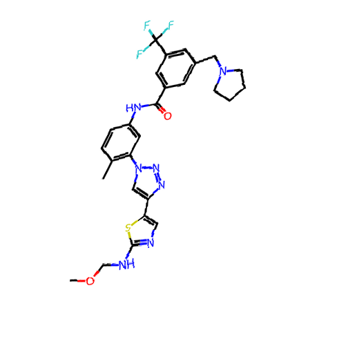 COCNc1ncc(-c2cn(-c3cc(NC(=O)c4cc(CN5CCCC5)cc(C(F)(F)F)c4)ccc3C)nn2)s1